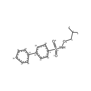 CC(C)CONS(=O)(=O)c1ccc(-c2ccccc2)cc1